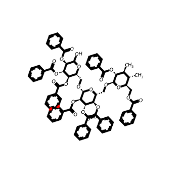 C[C@H]1[C@H](C)[C@@H](COC(=O)c2ccccc2)O[C@@H](OC[C@H]2O[C@@H](OC[C@H]3OC(O)[C@H](OC(=O)c4ccccc4)[C@@H](OC(=O)c4ccccc4)[C@@H]3OC(=O)c3ccccc3)[C@H](OC(=O)c3ccccc3)[C@@H](OC(=O)c3ccccc3)[C@@H]2OC(=O)c2ccccc2)[C@@H]1OC(=O)c1ccccc1